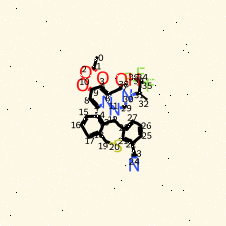 CC(=O)Oc1c2n(ccc1=O)N([C@H]1c3ccccc3CSc3c(C#N)cccc31)CN([C@H](C)C(F)(F)F)C2O